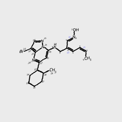 C\C=C/C=C(\C=N\O)CNc1cc(C2CCCCC2C)nc2c(Br)cnn12